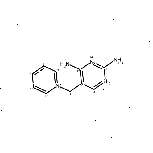 Nc1ncc(C[n+]2ccccc2)c(N)n1